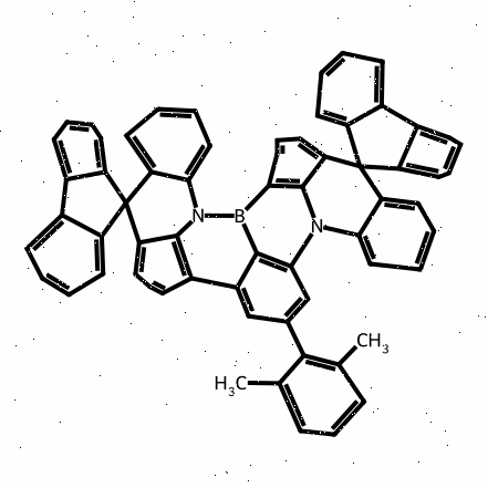 Cc1cccc(C)c1-c1cc2c3c(c1)N1c4ccccc4C4(c5ccccc5-c5ccccc54)c4cccc(c41)B3N1c3ccccc3C3(c4ccccc4-c4ccccc43)c3cccc-2c31